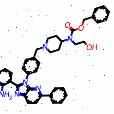 Nc1ncccc1-c1nc2ccc(-c3ccccc3)nc2n1-c1ccc(CN2CCC(N(CCO)C(=O)OCc3ccccc3)CC2)cc1